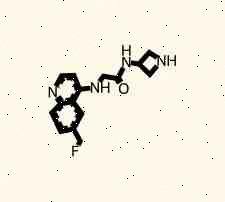 O=C(CNc1ccnc2ccc(CF)cc12)NC1CNC1